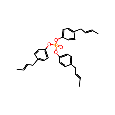 CC=CCc1ccc(OP(=O)(Oc2ccc(CC=CC)cc2)Oc2ccc(CC=CC)cc2)cc1